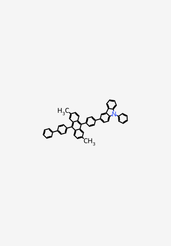 Cc1ccc2c(-c3ccc(-c4ccc5c(c4)c4ccccc4n5-c4ccccc4)cc3)c3cc(C)ccc3c(-c3ccc(-c4ccccc4)cc3)c2c1